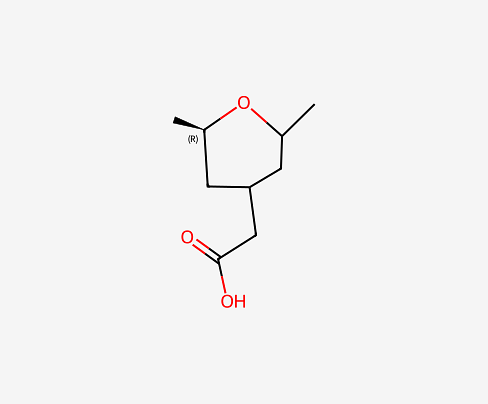 CC1CC(CC(=O)O)C[C@@H](C)O1